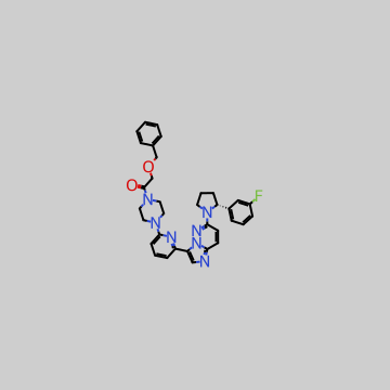 O=C(COCc1ccccc1)N1CCN(c2cccc(-c3cnc4ccc(N5CCC[C@@H]5c5cccc(F)c5)nn34)n2)CC1